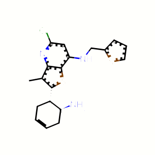 Cc1c([C@H]2CC=CC[C@@H]2N)sc2c(NCc3cccs3)cc(Cl)nc12